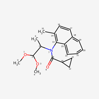 COC(OC)C(C)N(C(=O)C1CC1)c1c(C)ccc2ccccc12